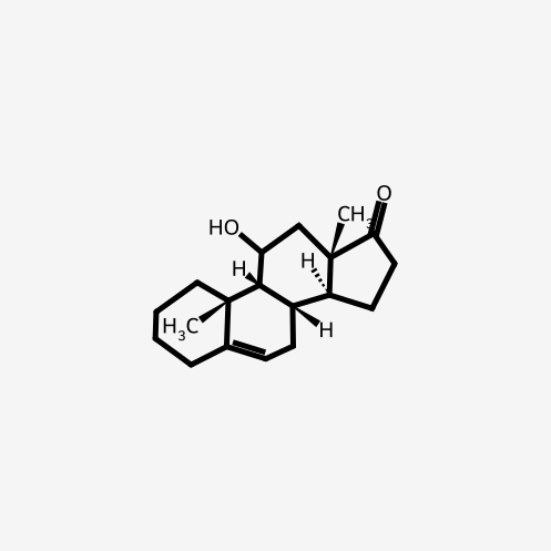 C[C@]12CCCCC1=CC[C@@H]1[C@H]2C(O)C[C@]2(C)C(=O)CC[C@@H]12